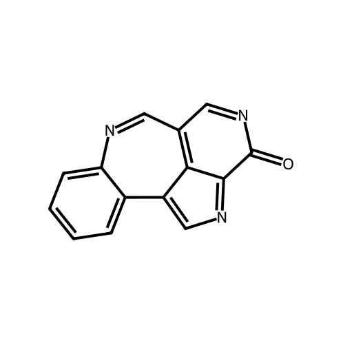 O=c1ncc2cnc3ccccc3c3cnc1c23